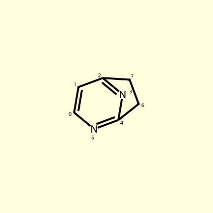 c1cc2nc(n1)CC2